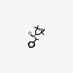 CC(c1ccccc1)N(C=O)C1CC(C)(C)NC(C)(C)C1